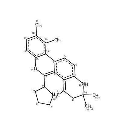 CC1=c2c(ccc3c2=C(C2CCCC2)Oc2ccc(O)c(Cl)c2-3)NC(C)(C)C1